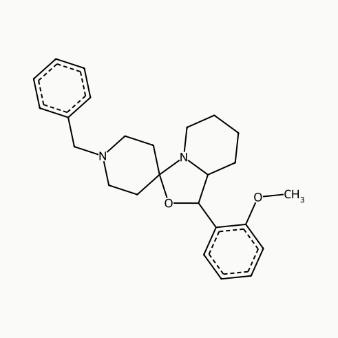 COc1ccccc1C1OC2(CCN(Cc3ccccc3)CC2)N2CCCCC12